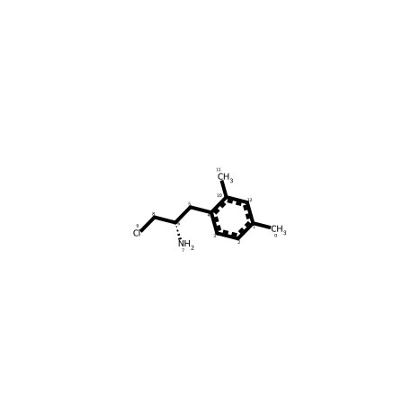 Cc1ccc(C[C@H](N)CCl)c(C)c1